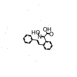 O=C(O)C(=NO)c1ccccc1C=Cc1ccccc1